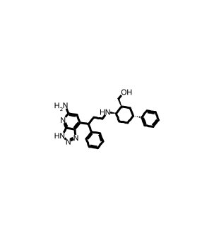 Nc1cc(C(CCN[C@@H]2CC[C@@H](c3ccccc3)C[C@@H]2CO)c2ccccc2)c2nn[nH]c2n1